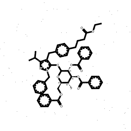 CCOC(=O)CCCc1ccc(Cc2c(C(C)C)nn(Cc3ccccc3)c2OC2O[C@H](COC(=O)c3ccccc3)[C@@H](F)[C@H](OC(=O)c3ccccc3)[C@H]2OC(=O)c2ccccc2)cc1